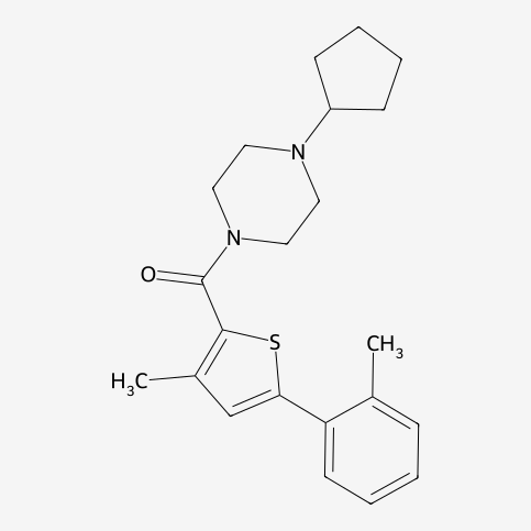 Cc1ccccc1-c1cc(C)c(C(=O)N2CCN(C3CCCC3)CC2)s1